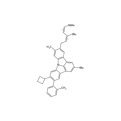 CN/C=C\C(=C/Cc1cc2c3cc(C(C)(C)C)cc4c5cc(-c6ccccc6C)c(C6CCC6)cc5n(c2cc1C)c34)C(C)(C)C